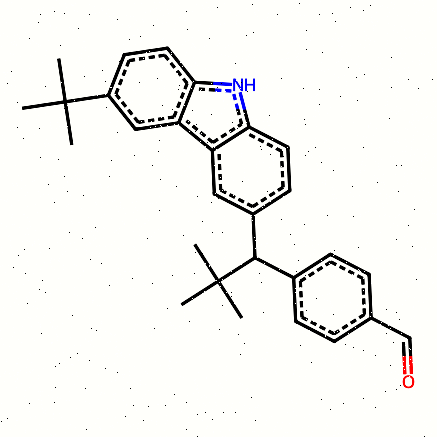 CC(C)(C)c1ccc2[nH]c3ccc(C(c4ccc(C=O)cc4)C(C)(C)C)cc3c2c1